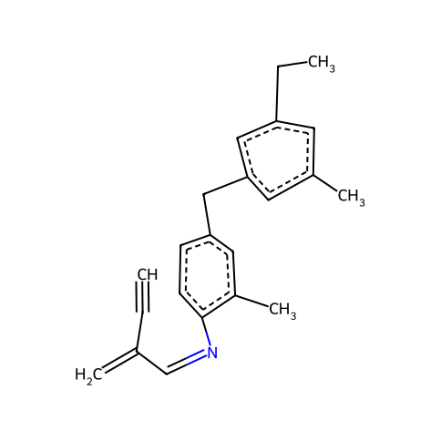 C#CC(=C)/C=N\c1ccc(Cc2cc(C)cc(CC)c2)cc1C